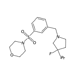 CC(C)C1(F)CCN(Cc2cccc(S(=O)(=O)N3CCOCC3)c2)C1